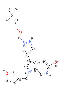 C[Si](C)(C)CCOCn1cc(-c2cn(CC3CCOC3)c3cnc(Br)cc23)cn1